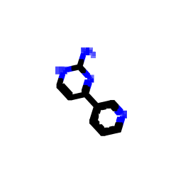 NC1N=C(c2cccnc2)C=CN1